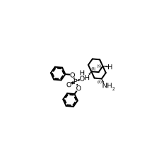 N[C@@H]1C[C@H]2CCC[C@@H](C1)C2.O=P(O)(Oc1ccccc1)Oc1ccccc1